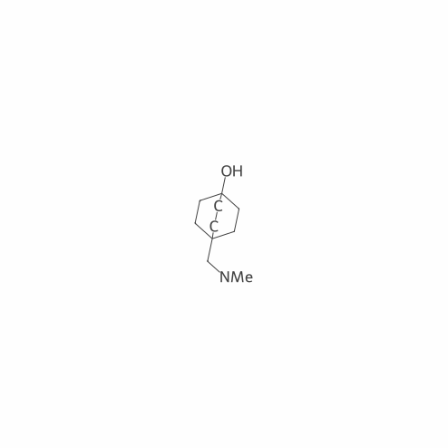 CNCC12CCC(O)(CC1)CC2